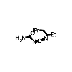 CCC(CC(C)C)N=C=NC(N)=O